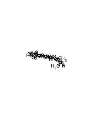 CCc1cc(N2C[C@@H](NC(=O)c3ccc(N4CCC(N5Cc6cc7c(cc6C5)C(=O)N(C5CCC(=O)NC5=O)C7=O)CC4)cc3)C[C@@H]2C)ccc1C#N